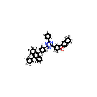 c1ccc(-c2nc(-c3ccc(-c4c5ccccc5c(-c5ccccc5)c5ccccc45)cc3)nc(-c3ccc4oc5cc6ccccc6cc5c4c3)n2)cc1